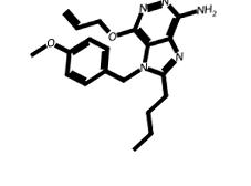 C=CCOc1nnc(N)c2nc(CCCC)n(Cc3ccc(OC)cc3)c12